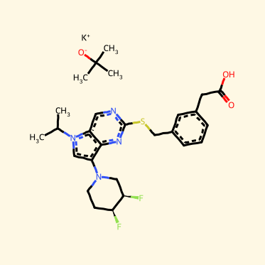 CC(C)(C)[O-].CC(C)n1cc(N2CC[C@H](F)[C@H](F)C2)c2nc(SCc3cccc(CC(=O)O)c3)ncc21.[K+]